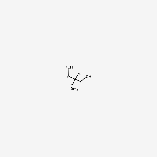 CC(C)(CO)CO.[SiH4]